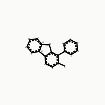 Cc1ccc2c(c1-c1ccccc1)[CH]c1ccccc1-2